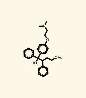 CC(=O)OCCC(c1ccccc1)C(O)(c1ccccc1)c1ccc(OCCN(C)C)cc1